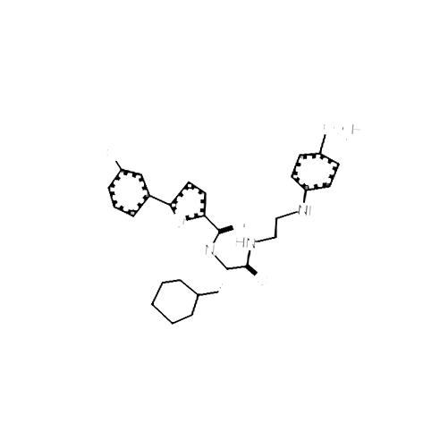 O=C(O)c1ccc(NCCNC(=O)[C@H](CC2CCCCC2)NC(=O)c2ccc(-c3cccc(C(F)(F)F)c3)o2)cc1